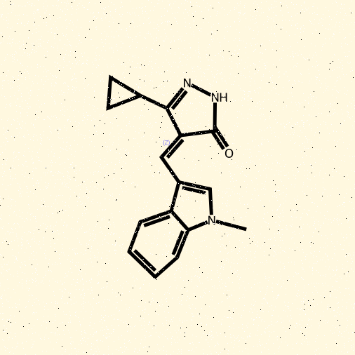 Cn1cc(/C=C2\C(=O)NN=C2C2CC2)c2ccccc21